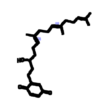 CC(C)=CCC/C(C)=C/CC/C(C)=C/CCC(O)CCC1=CC(=O)C=CC1=O